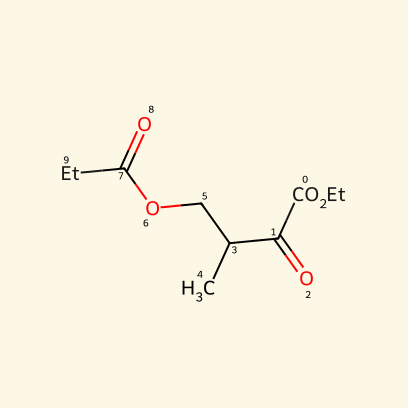 CCOC(=O)C(=O)C(C)COC(=O)CC